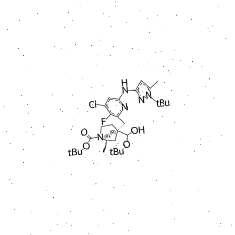 Cc1cc(Nc2cc(Cl)c(F)c(C[C@@]3(C(O)OC(C)(C)C)CCN(C(=O)OC(C)(C)C)[C@H](C)C3)n2)nn1C(C)(C)C